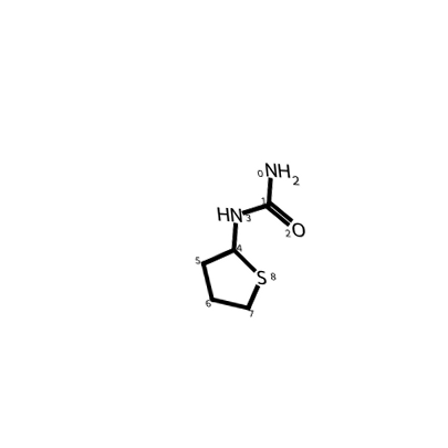 NC(=O)NC1CCCS1